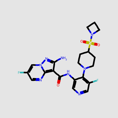 Nc1nn2cc(F)cnc2c1C(=O)Nc1cncc(F)c1N1CCC(S(=O)(=O)N2CCC2)CC1